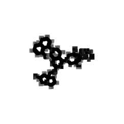 CO[C@@H]1C[C@@H]2CN(c3nc(OCC45CCCN4CC(F)C5)nc4c3CCN(c3cccc5cccc(Cl)c35)C4)C[C@H]1N2C(=O)O